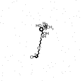 CS(=O)(=O)Nc1cc(C(O)CNCCCCCCOCCCc2ccc(Cl)s2)ccc1O